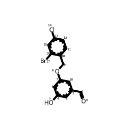 O=Cc1cc(O)cc(OCc2ccc(Cl)cc2Br)c1